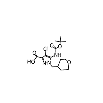 CC(C)(C)OC(=O)Nc1c(Cl)c(C(=O)O)nn1CC1CCOCC1